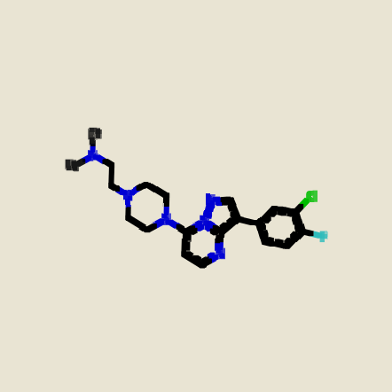 CCN(CC)CCN1CCN(c2ccnc3c(-c4ccc(F)c(Cl)c4)cnn23)CC1